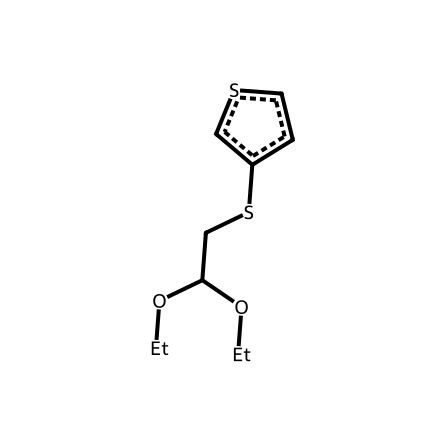 CCOC(CSc1ccsc1)OCC